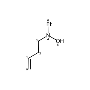 C=CCCN(O)CC